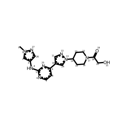 Cn1cc(Nc2nccc(-c3cnn(C4CCN(C(=O)CO)CC4)c3)n2)cn1